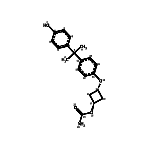 CC(C)(c1ccc(O)cc1)c1ccc(O[C@H]2C[C@H](OC(N)=O)C2)cc1